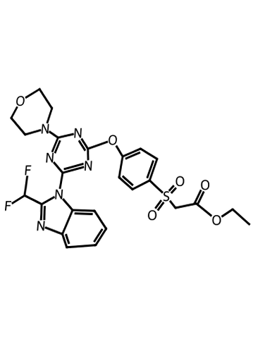 CCOC(=O)CS(=O)(=O)c1ccc(Oc2nc(N3CCOCC3)nc(-n3c(C(F)F)nc4ccccc43)n2)cc1